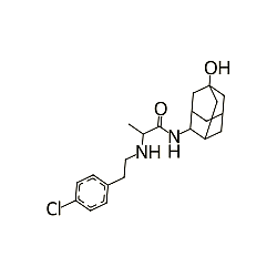 CC(NCCc1ccc(Cl)cc1)C(=O)NC1C2CC3CC1CC(O)(C3)C2